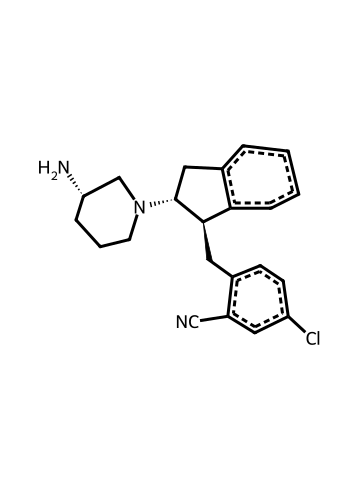 N#Cc1cc(Cl)ccc1C[C@@H]1c2ccccc2C[C@H]1N1CCC[C@H](N)C1